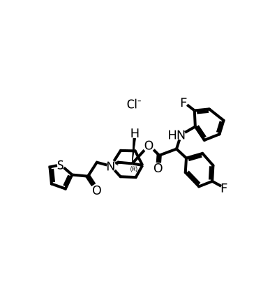 O=C(C[N+]12CCC(CC1)[C@@H](OC(=O)C(Nc1ccccc1F)c1ccc(F)cc1)C2)c1cccs1.[Cl-]